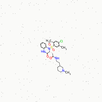 Cc1cc(S(=O)(=O)N2c3ccccc3NC(=O)[C@H]2CC(=O)NCCC2CCCN(C)C2)c(C)cc1Cl